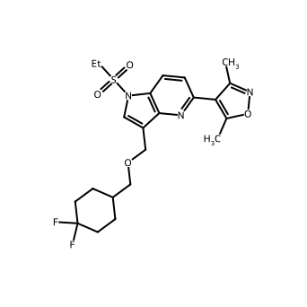 CCS(=O)(=O)n1cc(COCC2CCC(F)(F)CC2)c2nc(-c3c(C)noc3C)ccc21